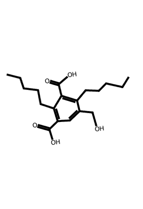 CCCCCc1c(CO)cc(C(=O)O)c(CCCCC)c1C(=O)O